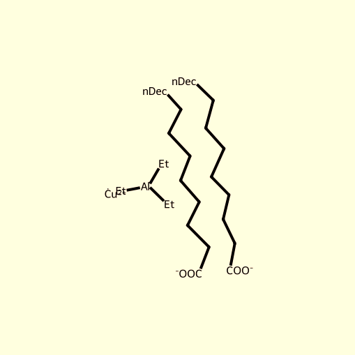 CCCCCCCCCCCCCCCCCC(=O)[O-].CCCCCCCCCCCCCCCCCC(=O)[O-].C[CH2][Al]([CH2]C)[CH2]C.[Cu+2]